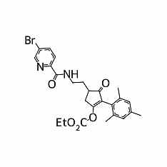 CCOC(=O)OC1=C(c2c(C)cc(C)cc2C)C(=O)C(CCNC(=O)c2ccc(Br)cn2)C1